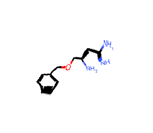 N=C(N)/C=C(\N)COCc1ccccc1